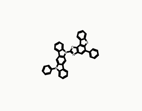 c1ccc(-c2cc3nc(-n4c5ccccc5c5cc6c(cc54)c4ccccc4n6-c4ccccc4)oc3c3c2sc2ccccc23)cc1